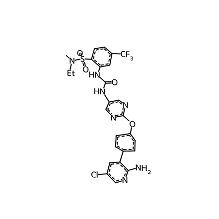 CCN(C)S(=O)(=O)c1ccc(C(F)(F)F)cc1NC(=O)Nc1cnc(Oc2ccc(-c3cc(Cl)cnc3N)cc2)nc1